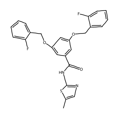 Cc1cnc(NC(=O)c2cc(OCc3ccccc3F)cc(OCc3ccccc3F)c2)s1